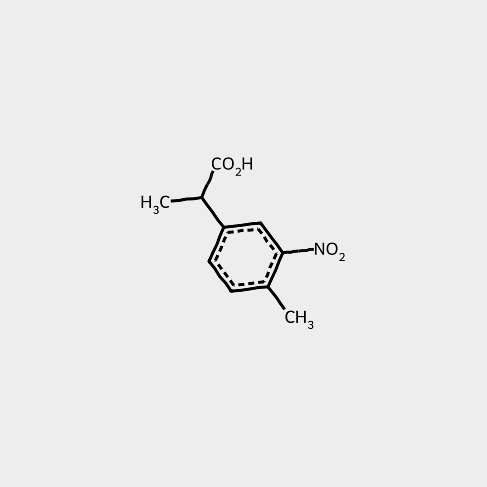 Cc1ccc(C(C)C(=O)O)cc1[N+](=O)[O-]